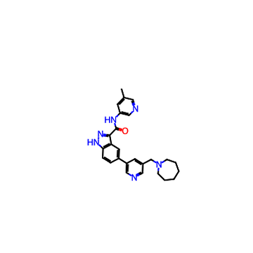 Cc1cncc(NC(=O)c2n[nH]c3ccc(-c4cncc(CN5CCCCCC5)c4)cc23)c1